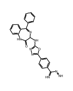 N=NC(=N)c1ccc(-c2nnc(NC3N=C(c4ccccc4)c4ccccc4NC3=O)o2)cc1